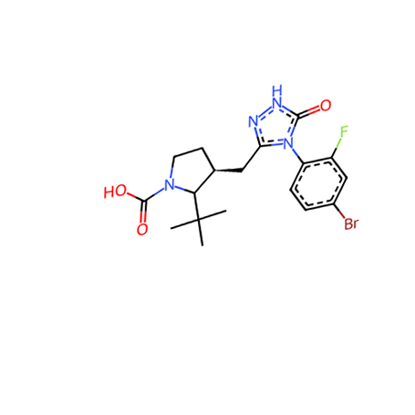 CC(C)(C)C1[C@H](Cc2n[nH]c(=O)n2-c2ccc(Br)cc2F)CCN1C(=O)O